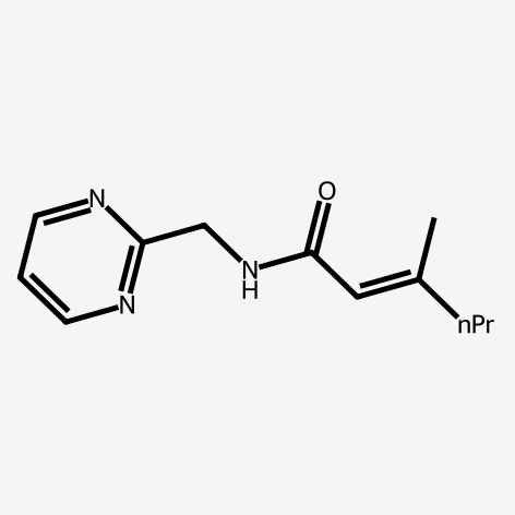 CCC/C(C)=C/C(=O)NCc1ncccn1